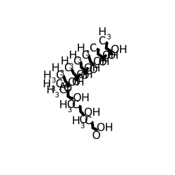 CC(C)=O.CCCC(=O)O.CCCC(=O)O.CCCC(=O)O.CCCC(=O)O.CCCC(=O)O.CCCC(=O)O.CCCC(=O)O.CCCC(=O)O.CCCC(=O)O